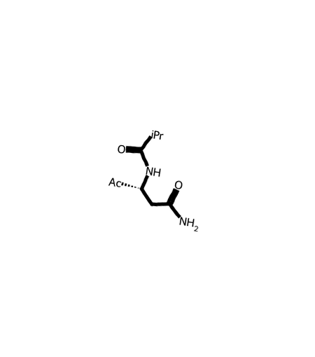 CC(=O)[C@@H](CC(N)=O)NC(=O)C(C)C